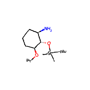 CC(C)O[C@H]1CCC[C@@H](N)[C@@H]1O[Si](C)(C)C(C)(C)C